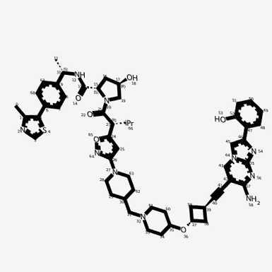 Cc1ncsc1-c1ccc([C@H](C)NC(=O)[C@@H]2C[C@@H](O)CN2C(=O)[C@@H](c2cc(N3CCC(CN4CCC(O[C@H]5C[C@H](C#Cc6cn7cc(-c8ccccc8O)nc7nc6N)C5)CC4)CC3)no2)C(C)C)cc1